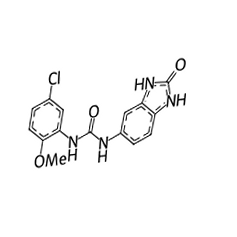 COc1ccc(Cl)cc1NC(=O)Nc1ccc2[nH]c(=O)[nH]c2c1